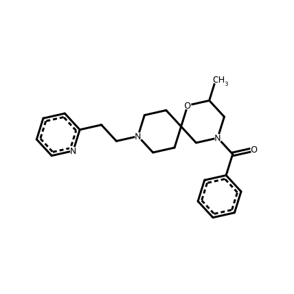 CC1CN(C(=O)c2ccccc2)CC2(CCN(CCc3ccccn3)CC2)O1